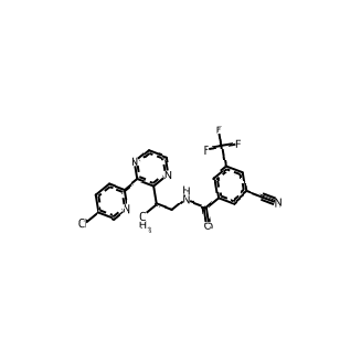 CC(CNC(=O)c1cc(C#N)cc(C(F)(F)F)c1)c1nccnc1-c1ccc(Cl)cn1